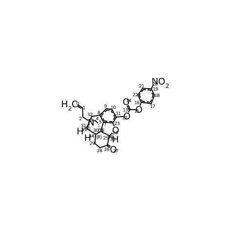 C=CCN1CC[C@]23c4c5ccc(OC(=O)Oc6ccc([N+](=O)[O-])cc6)c4O[C@H]2C(=O)CC[C@H]3[C@H]1C5